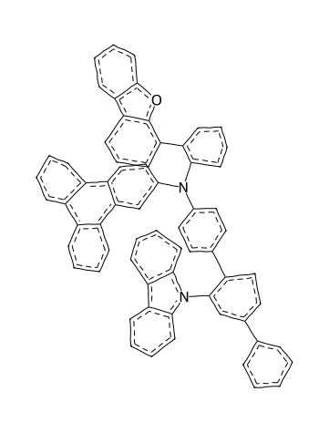 c1ccc(-c2ccc(-c3ccc(N(c4ccc5c6ccccc6c6ccccc6c5c4)c4ccccc4-c4cccc5c4oc4ccccc45)cc3)c(-n3c4ccccc4c4ccccc43)c2)cc1